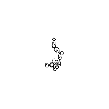 COc1cc(Cl)c(S(=O)(=O)N(C)CCOCC(=O)N2CCC3(CC2)CCN(C2CCC2)C3)c(OC)c1